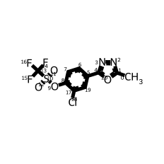 Cc1nnc(-c2ccc(OS(=O)(=O)C(F)(F)F)c(Cl)c2)o1